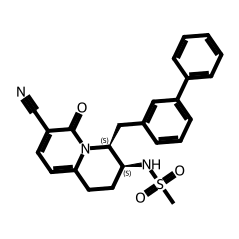 CS(=O)(=O)N[C@H]1CCc2ccc(C#N)c(=O)n2[C@H]1Cc1cccc(-c2ccccc2)c1